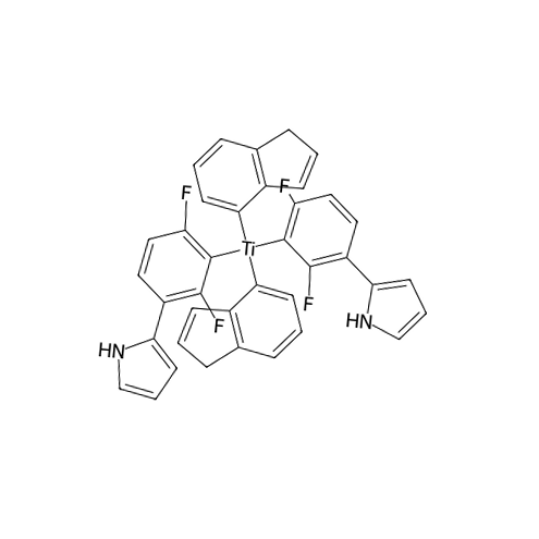 Fc1ccc(-c2ccc[nH]2)c(F)[c]1[Ti]([c]1cccc2c1C=CC2)([c]1cccc2c1C=CC2)[c]1c(F)ccc(-c2ccc[nH]2)c1F